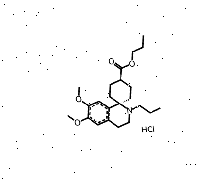 CCCOC(=O)[C@H]1CC[C@@]2(CC1)c1cc(OC)c(OC)cc1CCN2CCC.Cl